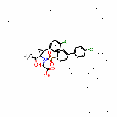 C=C(O)C1(N(CC(=O)O)S(=O)(=O)c2ccc(-c3ccc(Cl)cc3)cc2)CC1c1ccc(Cl)cc1